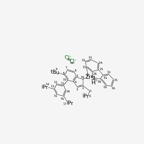 CC(C)CC1=Cc2c(ccc(C(C)(C)C)c2-c2cc(C(C)C)cc(C(C)C)c2)[CH]1[Zr+2]1[c]2cccc3c2[SiH]1c1ccccc1-3.[Cl-].[Cl-]